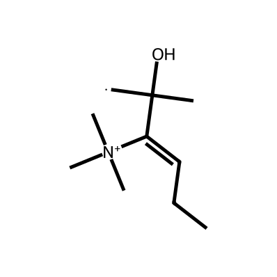 [CH2]C(C)(O)C(=CCC)[N+](C)(C)C